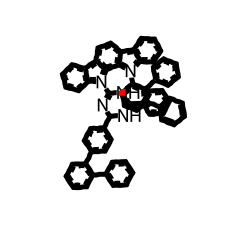 C1=CCC(c2cccc(-n3c4ccccc4c4ccc5c6ccccc6n(C6=NC(c7ccc(-c8ccccc8-c8ccccc8)cc7)NC(c7ccccc7)N6)c5c43)c2-c2ccccc2)C=C1